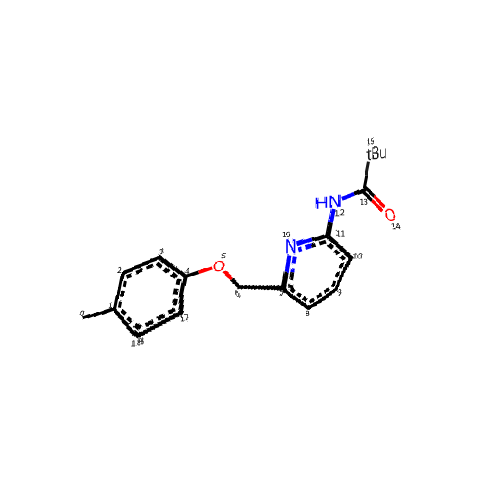 Cc1ccc(OCc2cccc(NC(=O)C(C)(C)C)n2)cc1